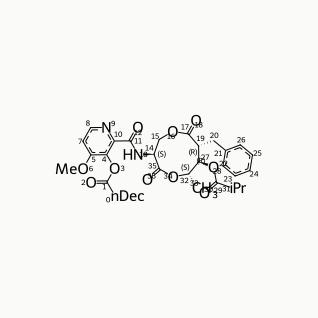 CCCCCCCCCCC(=O)Oc1c(OC)ccnc1C(=O)N[C@H]1COC(=O)[C@H](Cc2ccccc2)[C@@H](OC(=O)C(C)C)[C@H](C)OC1=O